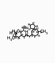 CCC(C)CC(C)C(CNCC1CCC(C)CC2(CCCC2)C1)CC(C)N